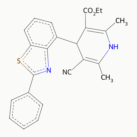 CCOC(=O)C1=C(C)NC(C)=C(C#N)C1c1cccc2sc(-c3ccccc3)nc12